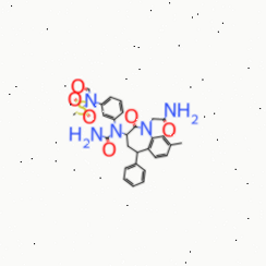 Cc1ccc2c(c1)N(CC(N)=O)C(=O)C(N(C(N)=O)c1cccc(N(C=O)S(C)(=O)=O)c1)CC2c1ccccc1